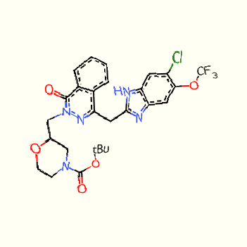 CC(C)(C)OC(=O)N1CCOC(Cn2nc(Cc3nc4cc(OC(F)(F)F)c(Cl)cc4[nH]3)c3ccccc3c2=O)C1